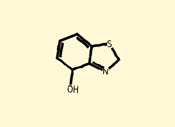 O[C]1C=CC=C2SCN=C12